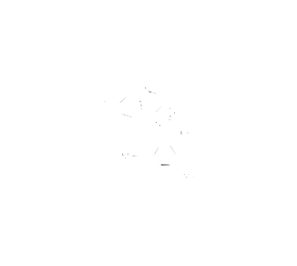 CCCCc1nc2cnc3cc(Br)ccc3c2n1Cc1ccc(OC)cc1OC